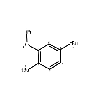 CC(C)Oc1cc(C(C)(C)C)ccc1C(C)(C)C